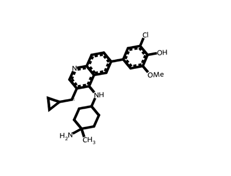 COc1cc(-c2ccc3ncc([C]C4CC4)c(NC4CCC(C)(N)CC4)c3c2)cc(Cl)c1O